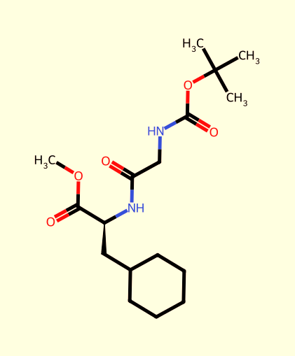 COC(=O)[C@H](CC1CCCCC1)NC(=O)CNC(=O)OC(C)(C)C